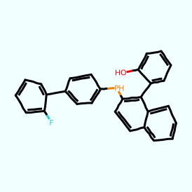 Oc1ccccc1-c1c(Pc2ccc(-c3ccccc3F)cc2)ccc2ccccc12